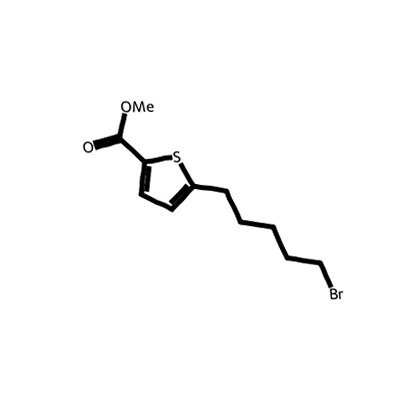 COC(=O)c1ccc(CCCCCBr)s1